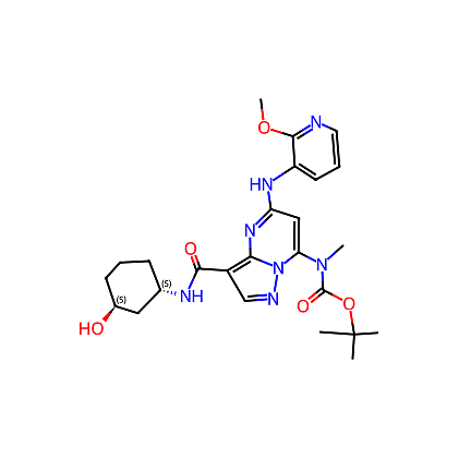 COc1ncccc1Nc1cc(N(C)C(=O)OC(C)(C)C)n2ncc(C(=O)N[C@H]3CCC[C@H](O)C3)c2n1